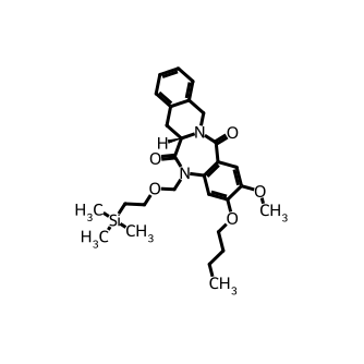 CCCCOc1cc2c(cc1OC)C(=O)N1Cc3ccccc3C[C@H]1C(=O)N2COCC[Si](C)(C)C